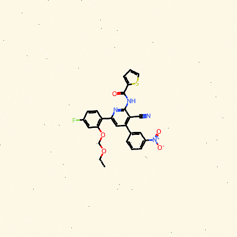 CCOCOc1cc(F)ccc1-c1cc(-c2cccc([N+](=O)[O-])c2)c(C#N)c(NC(=O)c2cccs2)n1